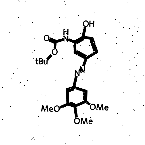 COc1cc(N=Nc2ccc(O)c(NC(=O)OC(C)(C)C)c2)cc(OC)c1OC